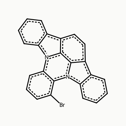 Brc1cccc2c1n1c3ccccc3c3ccc4c5ccccc5n2c4c31